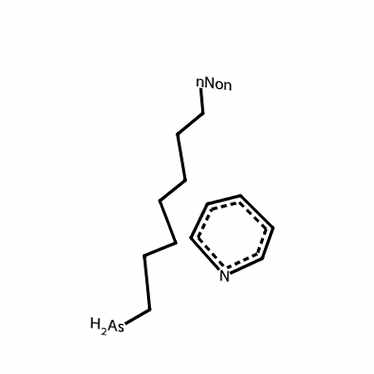 CCCCCCCCCCCCCCCC[AsH2].c1ccncc1